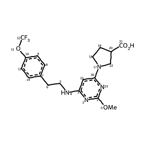 COc1nc(NCCc2ccc(OC(F)(F)F)cc2)cc(N2CCC(C(=O)O)C2)n1